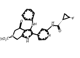 CCOC(=O)N1CC(=O)c2c([nH]c(-c3ccnc(NC(=O)[C@@H]4C[C@@H]4F)c3)c2Nc2ccccc2)C1